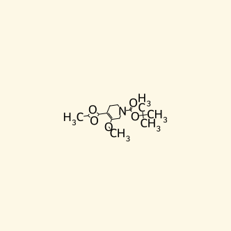 COC1=C(C2OC(C)O2)CCN(C(=O)OC(C)(C)C)C1